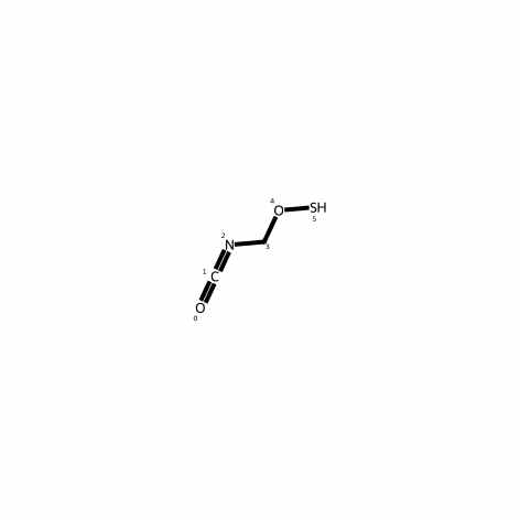 O=C=NCOS